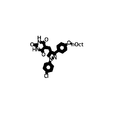 CCCCCCCCOc1ccc(-c2nn(-c3ccc(Cl)cc3)cc2C=C2C(=O)NC(=O)NC2=O)cc1